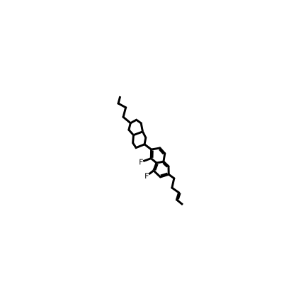 CC=CCCc1cc(F)c2c(F)c(C3CCC4CC(CCCC)CCC4C3)ccc2c1